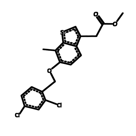 COC(=O)Cc1csc2c(C)c(OCc3ccc(Cl)cc3Cl)ccc12